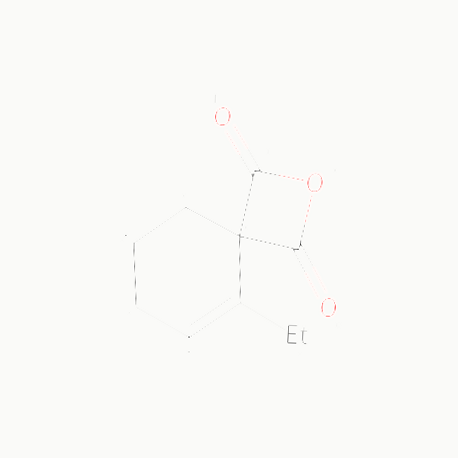 CCC1=CCCCC12C(=O)OC2=O